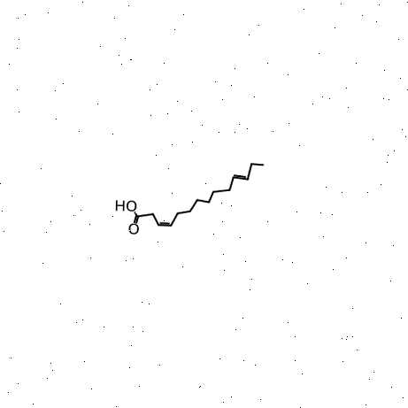 CCC=CCCCCCC/C=C\CC(=O)O